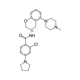 CN1CCN(c2cccc3c2C[C@H](NC(=O)c2ccc(N4CCCC4)cc2Cl)CO3)CC1